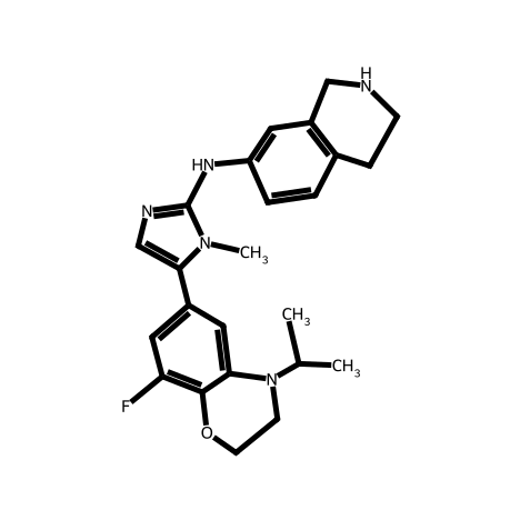 CC(C)N1CCOc2c(F)cc(-c3cnc(Nc4ccc5c(c4)CNCC5)n3C)cc21